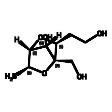 B[C@@H]1O[C@@]2(CO)[C@H](CCO)O[C@@H]1[C@@H]2O